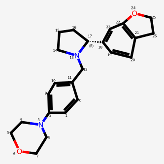 c1cc(N2CCOCC2)ccc1CN1CCC[C@@H]1c1ccc2c(c1)OCC2